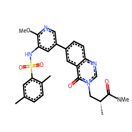 CNC(=O)[C@H](C)Cn1cnc2ccc(-c3cnc(OC)c(NS(=O)(=O)c4cc(C)ccc4C)c3)cc2c1=O